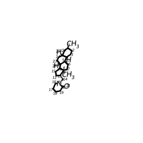 C[C@H]1CC[C@@H]2C3CC[C@@]4(C)C(CC[C@@H]4CN4CCCCC4=O)[C@@H]3CC[C@@H]2C1